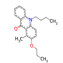 CCCCn1c2ccccc2c(=O)c2c(C)c(OCCC)ccc21